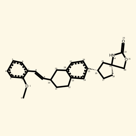 COc1ccccc1C=CC1CCc2cc([C@H]3CC[C@]4(COC(=O)N4)C3)ccc2C1